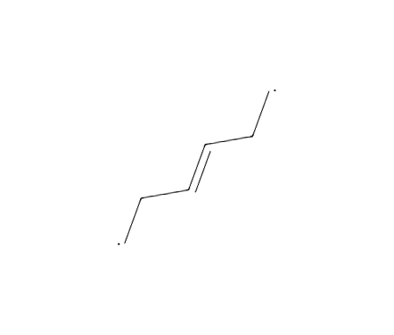 [CH2]CC=CC[CH2]